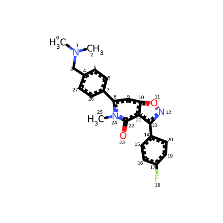 CN(C)Cc1ccc(-c2cc3onc(-c4ccc(F)cc4)c3c(=O)n2C)cc1